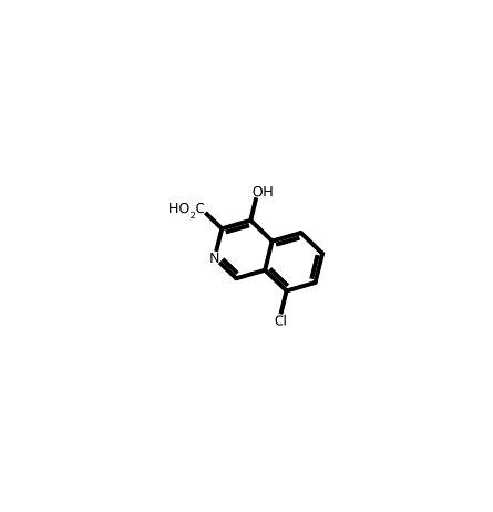 O=C(O)c1ncc2c(Cl)cccc2c1O